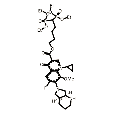 CCOP(=O)(OCC)C(CCCCOC(=O)c1cn(C2CC2)c2c(OC)c(N3C[C@@H]4CCCN[C@@H]4C3)c(F)cc2c1=O)P(=O)(OCC)OCC